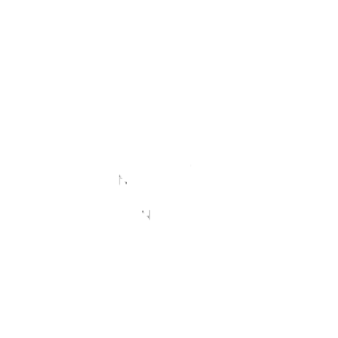 [CH2]c1nnc(C)s1